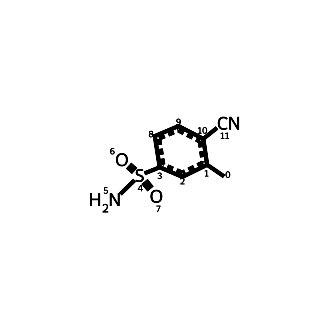 Cc1cc(S(N)(=O)=O)ccc1C#N